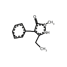 CCc1[nH]n(C)c(=O)c1-c1ccccc1